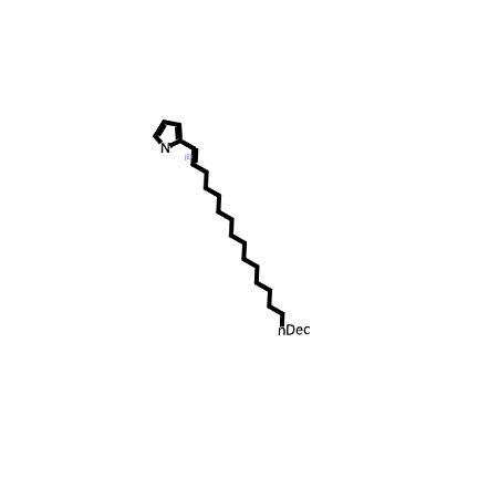 CCCCCCCCCCCCCCCCCCCCCCC/C=C/C1=CC=C[N]1